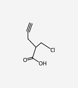 C#CCC(CCl)C(=O)O